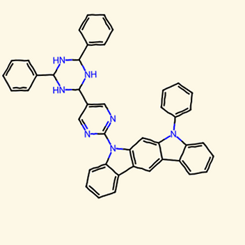 c1ccc(C2NC(c3ccccc3)NC(c3cnc(-n4c5ccccc5c5cc6c7ccccc7n(-c7ccccc7)c6cc54)nc3)N2)cc1